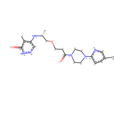 Cc1c(N[C@H](C)COCCC(=O)N2CCN(c3ccc(C#N)cn3)CC2)cn[nH]c1=O